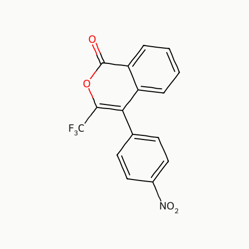 O=c1oc(C(F)(F)F)c(-c2ccc([N+](=O)[O-])cc2)c2ccccc12